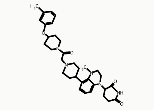 Cc1cccc(OC2CCN(C(=O)CN3CCC(c4cccc5c4N(C)CCN5C4CCC(=O)NC4=O)CC3)CC2)c1